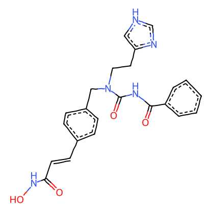 O=C(C=Cc1ccc(CN(CCc2c[nH]cn2)C(=O)NC(=O)c2ccccc2)cc1)NO